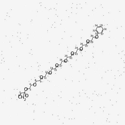 C=CC(=O)OCCOCCOCCOCCOCCOCCOCCOCCOCCOc1ccccc1